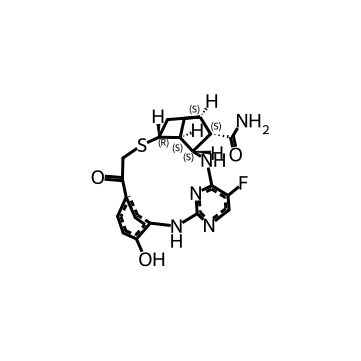 NC(=O)[C@H]1[C@H]2C[C@H]3[C@H]1Nc1nc(ncc1F)Nc1cc(ccc1O)C(=O)CS[C@@H]3C2